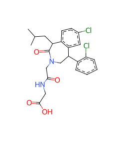 CC(C)CC1C(=O)N(CC(=O)NCC(=O)O)CC(c2ccccc2Cl)c2cc(Cl)ccc21